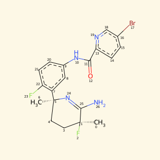 C[C@]1(F)CC[C@@](C)(c2cc(NC(=O)c3ccc(Br)cn3)ccc2F)N=C1N